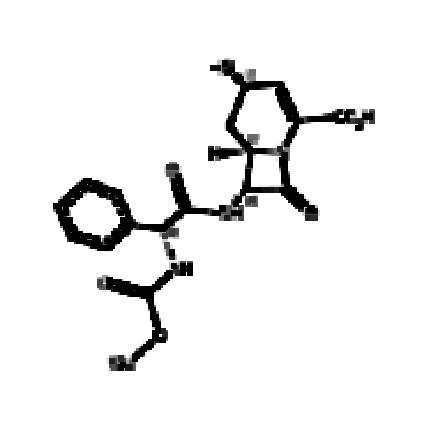 CC(C)(C)OC(=O)N[C@@H](C(=O)N[C@H]1C(=O)N2C(C(=O)O)=C[C@H](O)C[C@@H]12)c1ccccc1